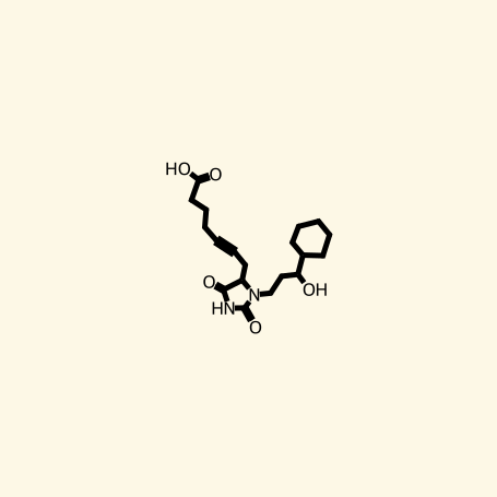 O=C(O)CCCC#CCC1C(=O)NC(=O)N1CCC(O)C1CCCCC1